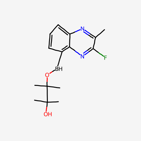 Cc1nc2cccc(BOC(C)(C)C(C)(C)O)c2nc1F